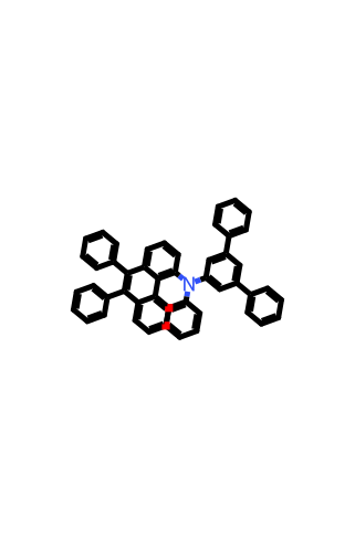 c1ccc(-c2cc(-c3ccccc3)cc(N(c3ccccc3)c3cccc4c(-c5ccccc5)c(-c5ccccc5)c5ccccc5c34)c2)cc1